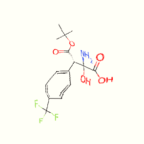 CC(C)(C)OC(=O)[C@@H](c1ccc(C(F)(F)F)cc1)[C@@](N)(O)C(=O)O